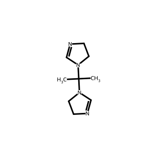 CC(C)(N1C=NCC1)N1C=NCC1